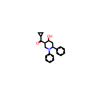 O=C(C1CC1)C1CN(c2ccccc2)C(c2ccccc2)CC1O